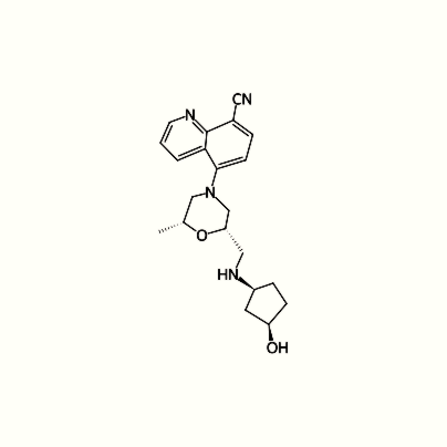 C[C@@H]1CN(c2ccc(C#N)c3ncccc23)C[C@H](CN[C@H]2CC[C@@H](O)C2)O1